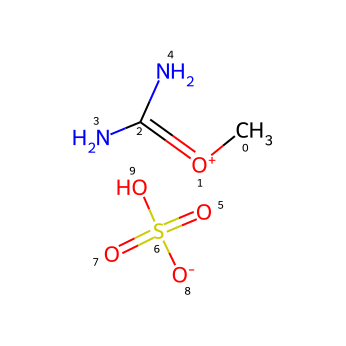 C[O+]=C(N)N.O=S(=O)([O-])O